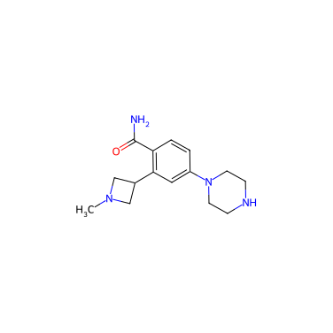 CN1CC(c2cc(N3CCNCC3)ccc2C(N)=O)C1